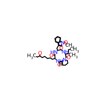 CCC(=O)CCCCCC1NC(=O)[C@@H]2CCCCN2C(=O)C([C@@H](C)CC)NC(=O)C(Cc2cn(OC)c3ccccc23)NC1=O